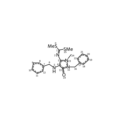 CSC(=Nc1c(NCc2ccccc2)c(=O)n(Cc2ccccc2)n1C)SC